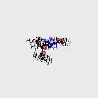 C[C@H]1C(O[Si](C)(C)C(C)(C)C)[C@](C#N)(c2ccc3c(NC(=O)OC(C)(C)C)ncnn23)O[C@@H]1CO[Si](C)(C)C(C)(C)C